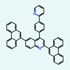 c1ccc(-c2ccc(-c3cc(-c4cc5ccccc5c5ccccc45)nc4ccc(-c5cc6ccccc6c6ccccc56)cc34)cc2)nc1